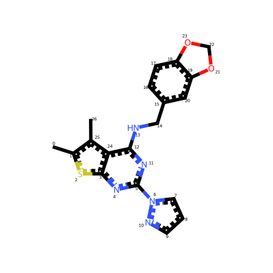 Cc1sc2nc(-n3cccn3)nc(NCc3ccc4c(c3)OCO4)c2c1C